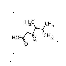 CC(C)C(C)C(=O)CC(=O)O